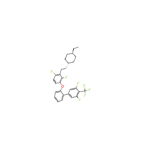 CC[C@H]1CC[C@H](CCc2c(F)c[c]c(Oc3ccccc3-c3cc(F)c(C(F)(F)F)c(F)c3)c2F)CC1